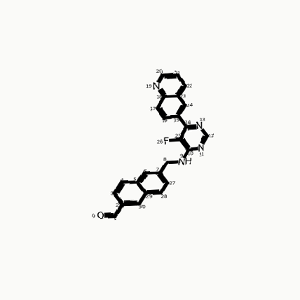 O=Cc1ccc2cc(CNc3ncnc(-c4ccc5ncccc5c4)c3F)ccc2c1